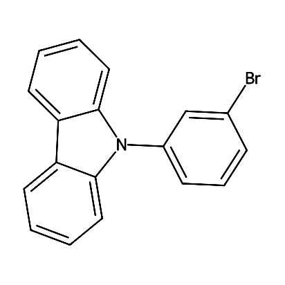 Brc1cccc(-n2c3ccccc3c3ccccc32)c1